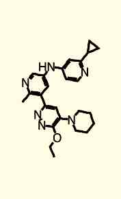 CCOc1nnc(-c2cc(Nc3ccnc(C4CC4)c3)cnc2C)cc1N1CCCCC1